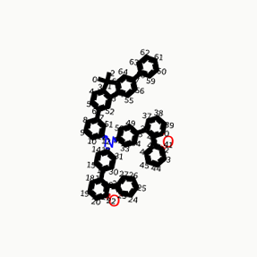 CC1(C)c2ccc(-c3cccc(N(c4ccc(-c5cccc6oc7ccccc7c56)cc4)c4ccc(-c5cccc6oc7ccccc7c56)cc4)c3)cc2-c2ccc(-c3ccccc3)cc21